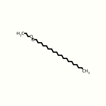 [CH2]CCOOCCCCCCCCCCCCCCCCCCCC